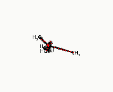 CC#CC#CC#CC#CC#CC#CC#CC#CC#CC#CC#CC#CC(=O)N[C@@H](CO[C@H]1OC(CO)[C@H](O)[C@H](O)C1O)[C@H](OCc1ccccc1)[C@H](C)CC=CCCCCCCCCCCC